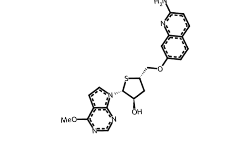 COc1ncnc2c1ccn2[C@@H]1S[C@H](COc2ccc3ccc(N)nc3c2)C[C@H]1O